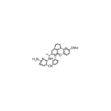 COc1ccnc(-c2cccc3cc([C@H](C)Nc4nc(N)ncc4C#N)n(-c4ccccc4)c(=O)c23)n1